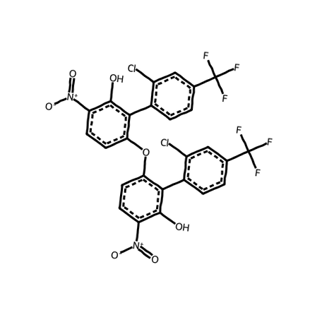 O=[N+]([O-])c1ccc(Oc2ccc([N+](=O)[O-])c(O)c2-c2ccc(C(F)(F)F)cc2Cl)c(-c2ccc(C(F)(F)F)cc2Cl)c1O